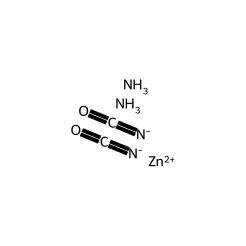 N.N.[N-]=C=O.[N-]=C=O.[Zn+2]